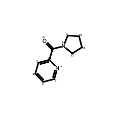 O=C(c1ccccn1)N1[CH]CCC1